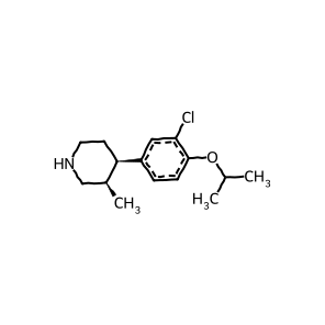 CC(C)Oc1ccc([C@@H]2CCNC[C@@H]2C)cc1Cl